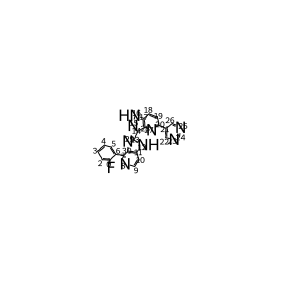 Fc1ccccc1-c1nccc2[nH]c(-c3n[nH]c4ccc(-c5cncnc5)nc34)nc12